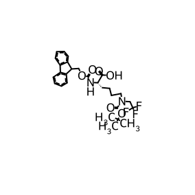 CC(C)(C)OC(=O)N(CCCC[C@H](NC(=O)OCC1c2ccccc2-c2ccccc21)C(=O)O)CC(F)(F)F